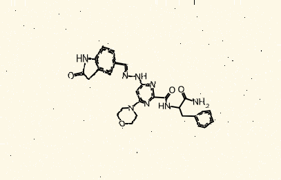 NC(=O)C(Cc1ccccc1)NC(=O)c1nc(NN=Cc2ccc3c(c2)CC(=O)N3)cc(N2CCOCC2)n1